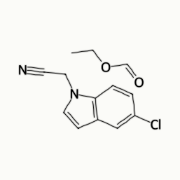 CCOC=O.N#CCn1ccc2cc(Cl)ccc21